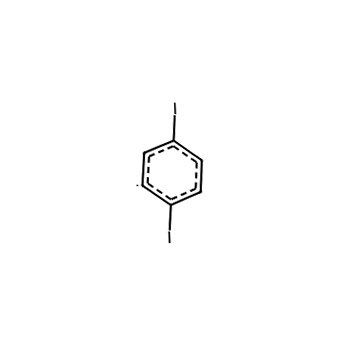 Ic1[c]cc(I)cc1